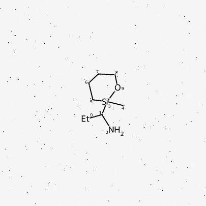 CCC(N)[Si]1(C)CCCCO1